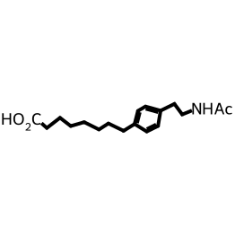 CC(=O)NCCc1ccc(CCCCCCCC(=O)O)cc1